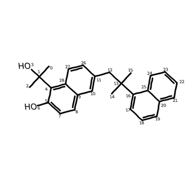 CC(C)(O)c1c(O)ccc2cc(CC(C)(C)c3cccc4ccccc34)ccc12